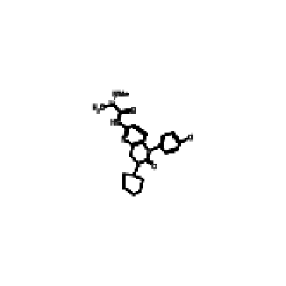 CN[C@@H](C)C(=O)Nc1ccc2c(n1)CN(C1CCCCC1)C(=O)N2c1ccc(Cl)cc1